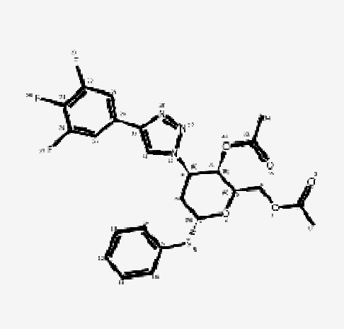 CC(=O)OC[C@H]1O[C@H](Sc2ccccc2)C[C@@H](n2cc(-c3cc(F)c(F)c(F)c3)nn2)[C@H]1OC(C)=O